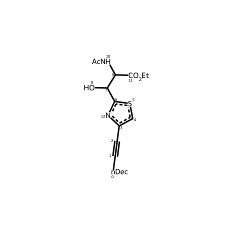 CCCCCCCCCCC#Cc1csc(C(O)C(NC(C)=O)C(=O)OCC)n1